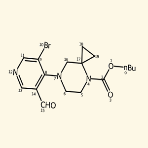 CCCCOC(=O)N1CCN(c2c(Br)cncc2C=O)CC12CC2